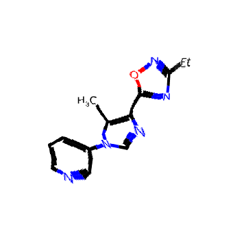 CCc1noc(-c2ncn(-c3cccnc3)c2C)n1